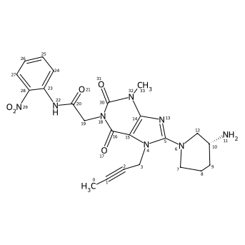 CC#CCn1c(N2CCC[C@@H](N)C2)nc2c1c(=O)n(CC(=O)Nc1ccccc1[N+](=O)[O-])c(=O)n2C